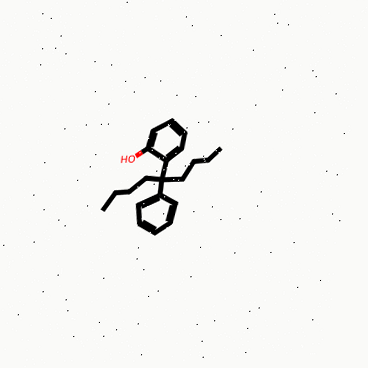 CCCCC(CCCC)(c1ccccc1)c1ccccc1O